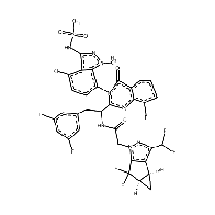 Cn1nc(NS(C)(=O)=O)c2c(Cl)ccc(-n3c([C@H](Cc4cc(F)cc(F)c4)NC(=O)Cn4nc(C(F)F)c5c4C(F)(F)[C@@H]4C[C@H]54)nc4c(F)cccc4c3=O)c21